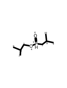 CC(C)CO[PH](=O)CC(C)C